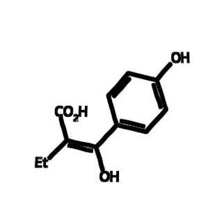 CCC(C(=O)O)=C(O)c1ccc(O)cc1